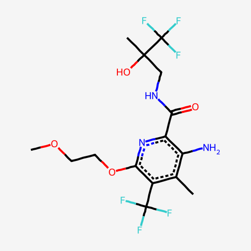 COCCOc1nc(C(=O)NCC(C)(O)C(F)(F)F)c(N)c(C)c1C(F)(F)F